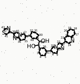 OC(c1cccc(-c2ccc3nc(-c4cnc5ccccc5c4)cn3c2)c1)C(O)c1cccc(-c2ccc3nc(-c4cscn4)cn3c2)c1